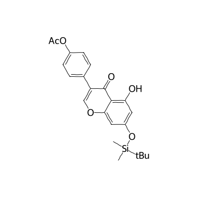 CC(=O)Oc1ccc(-c2coc3cc(O[Si](C)(C)C(C)(C)C)cc(O)c3c2=O)cc1